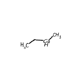 C[CH2][GaH][CH3]